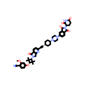 COc1cc(O[C@H]2C(C)(C)[C@H](N3Cc4nc(C#C[C@H]5CC[C@H](N6CCN(c7ccc8c(c7)C(=O)N(C7CCC(=O)NC7=O)C8=O)CC6)CC5)ccc4C3=O)C2(C)C)ccc1C#N